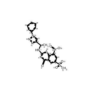 C[C@@H](Nc1nc(=O)c2cc(S(C)(=O)=O)cc([N+](=O)[O-])c2s1)c1cn(-c2ccccc2)nn1